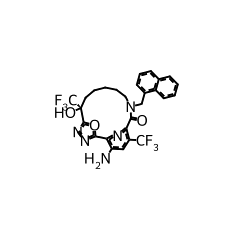 Nc1cc(C(F)(F)F)c2nc1-c1nnc(o1)[C@@](O)(C(F)(F)F)CCCCCN(Cc1cccc3ccccc13)C2=O